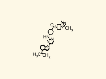 C=C(C)c1cccc2c1ccn2-c1ccnc(NC2CCC(C(=O)N3CCn4c(C)nnc4C3)CC2)n1